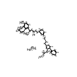 F.F.O=C(O)Nc1cc(CCCOc2cccc(CCNC[C@@H](O)c3ccc(O)c4[nH]c(=O)ccc34)c2)ccc1-c1ccccc1